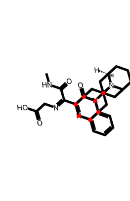 CNC(=O)C(=NCC(=O)O)c1nc2ccccc2n(C2CC3CCC[C@H](C2)N3C2CC3CCCC(C3)C2)c1=O